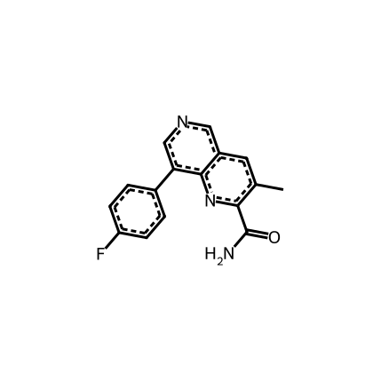 Cc1cc2cncc(-c3ccc(F)cc3)c2nc1C(N)=O